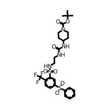 CC(C)(C)OC(=O)N1CCC(NC(=O)NCCNS(=O)(=O)c2cc(S(=O)(=O)c3ccccc3)ccc2C(F)(F)F)CC1